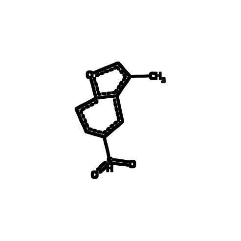 Cc1coc2ccc([SH](=O)=O)cc12